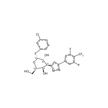 OC[C@H]1O[C@H](Sc2cncc(Cl)c2)[C@H](O)[C@@H](n2cc(-c3cc(F)c(C(F)(F)F)c(F)c3)nn2)[C@H]1O